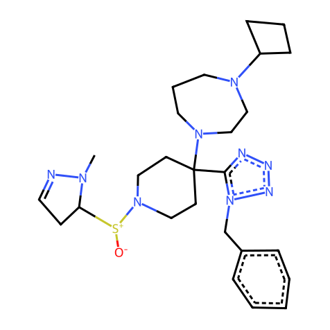 CN1N=CCC1[S+]([O-])N1CCC(c2nnnn2Cc2ccccc2)(N2CCCN(C3CCC3)CC2)CC1